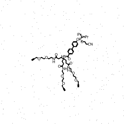 C#CCOCCOCCNC(=O)CCC(CCC(=O)NCCOCCOCC#C)(CCC(=O)NCCOCCOCC#C)NC(=O)c1ccc(-c2ccc(OP(OCCC#N)N(C(C)C)C(C)C)cc2)cc1